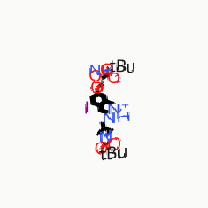 C[n+]1cc2cc(OC[C@H](ON)C(=O)OC(C)(C)C)ccc2cc1NCC1CN(C(=O)OC(C)(C)C)C1.[I-]